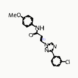 COc1ccc(NC(=O)/C=C/n2cnc(-c3cccc(Cl)c3)n2)cc1